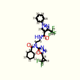 O=C(NCCN(C(=O)C1CCCCC1)c1nnc(C2CC2(F)F)o1)c1cn(-c2ccccc2)nc1C(F)(F)F